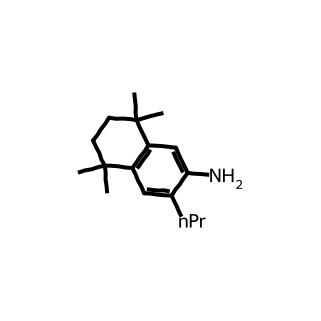 CCCc1cc2c(cc1N)C(C)(C)CCC2(C)C